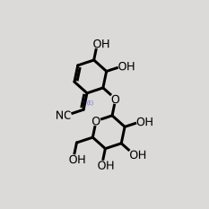 N#C/C=C1\C=CC(O)C(O)C1OC1OC(CO)C(O)C(O)C1O